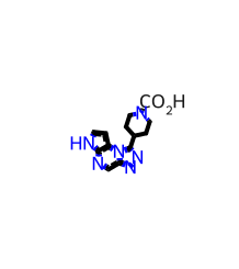 O=C(O)N1CCC(c2nnc3cnc4[nH]ccc4n23)CC1